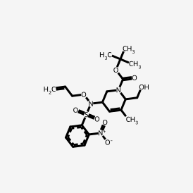 C=CCON(C1C=C(C)C(CO)N(C(=O)OC(C)(C)C)C1)S(=O)(=O)c1ccccc1[N+](=O)[O-]